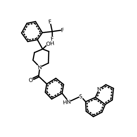 O=C(c1ccc(NSc2cccc3cccnc23)cc1)N1CCC(O)(c2ccccc2C(F)(F)F)CC1